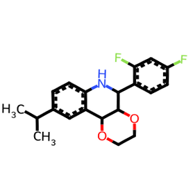 CC(C)c1ccc2c(c1)C1OCCOC1C(c1ccc(F)cc1F)N2